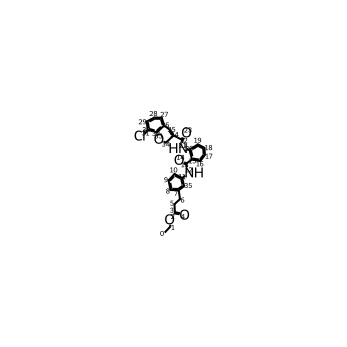 CCOC(=O)CCc1cccc(NC(=O)c2ccccc2NC(=O)C2=Cc3cccc(Cl)c3OC2)c1